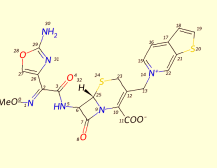 CON=C(C(=O)NC1C(=O)N2C(C(=O)[O-])=C(C[n+]3ccc4ccsc4c3)CS[C@@H]12)c1coc(N)n1